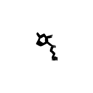 CNCCNc1ccc(C)cc1F